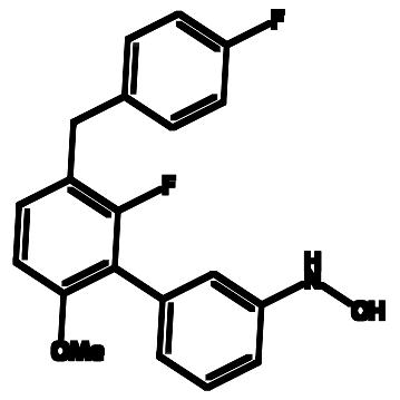 COc1ccc(Cc2ccc(F)cc2)c(F)c1-c1cccc(NO)c1